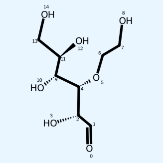 O=C[C@H](O)[C@@H](OCCO)[C@H](O)[C@H](O)CO